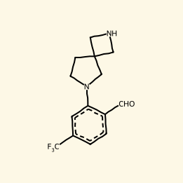 O=Cc1ccc(C(F)(F)F)cc1N1CCC2(CNC2)C1